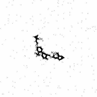 C=C(/C=C1/CC2CC2/C1=C/C)OCc1cc(-c2ccc(OCCC3(C)CC3)cc2C(F)(F)F)ccc1F